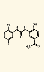 Cc1ccc(O)c(NC(=O)Nc2cc(C(N)=O)ccc2O)c1